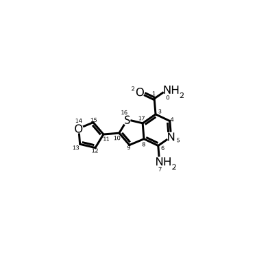 NC(=O)c1cnc(N)c2cc(-c3ccoc3)sc12